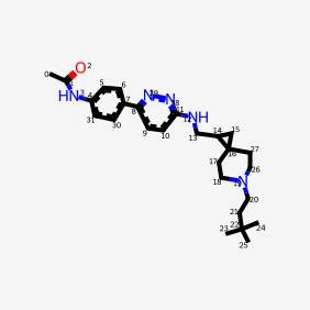 CC(=O)Nc1ccc(-c2ccc(NCC3CC34CCN(CCC(C)(C)C)CC4)nn2)cc1